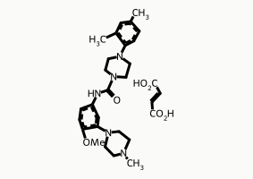 COc1ccc(NC(=O)N2CCN(c3ccc(C)cc3C)CC2)cc1N1CCN(C)CC1.O=C(O)/C=C/C(=O)O